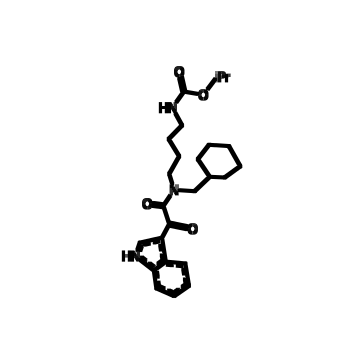 CC(C)OC(=O)NCCCCN(CC1CCCCC1)C(=O)C(=O)c1c[nH]c2ccccc12